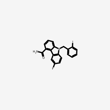 NC(=O)c1cccc2c1c1[c]c(F)ccc1n2Cc1ccccc1I